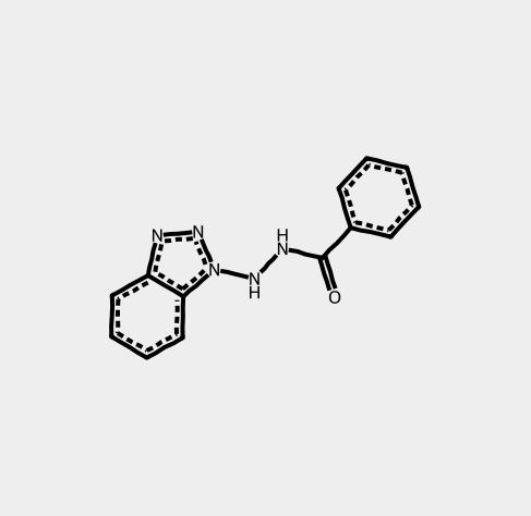 O=C(NNn1nnc2ccccc21)c1ccccc1